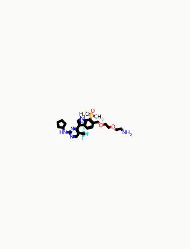 CP(C)(=O)c1c(COCCOCCN)ccc2c(-c3nc(NC4CCCC4)ncc3C(F)(F)F)c[nH]c12